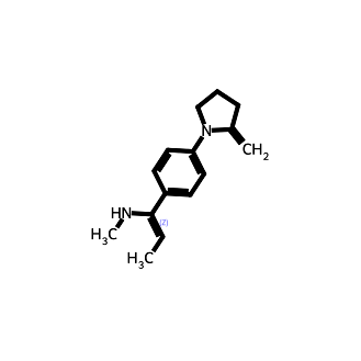 C=C1CCCN1c1ccc(/C(=C/C)NC)cc1